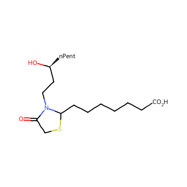 CCCCC[C@H](O)CCN1C(=O)CSC1CCCCCCC(=O)O